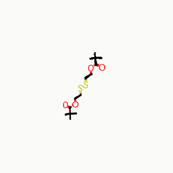 CC(C)(C)C(=O)OCCSSCCOC(=O)C(C)(C)C